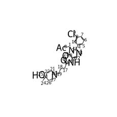 CC(=O)Cn1c(-c2cccc(Cl)c2)ncc(NC(=O)CCCN2CCC(C)(O)CC2)c1=O